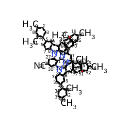 Cc1ccc(-c2ccc3c(c2)c2cc(-c4ccc(C)cc4C)ccc2n3-c2cc(C#N)cc(-n3c4ccc(-c5ccc(C)cc5C)cc4c4cc(-c5ccc(C)cc5C)ccc43)c2-c2nc(-c3ccccc3)cc(-c3ccccc3)n2)c(C)c1